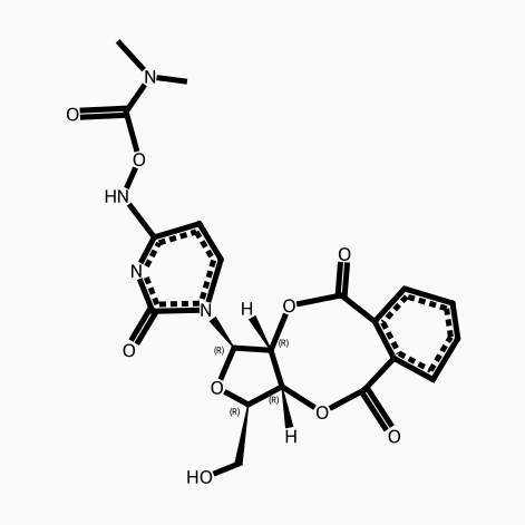 CN(C)C(=O)ONc1ccn([C@@H]2O[C@H](CO)[C@H]3OC(=O)c4ccccc4C(=O)O[C@H]32)c(=O)n1